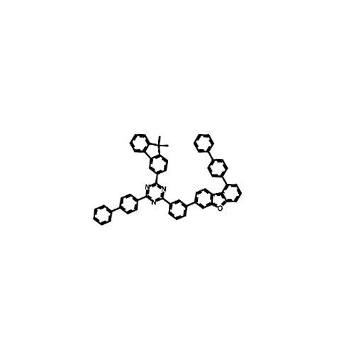 CC1(C)c2ccccc2-c2cc(-c3nc(-c4ccc(-c5ccccc5)cc4)nc(-c4cccc(-c5ccc6c(c5)oc5cccc(-c7ccc(-c8ccccc8)cc7)c56)c4)n3)ccc21